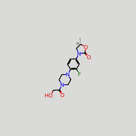 C[C@H]1CN(c2ccc(N3CCN(C(=O)CO)CC3)c(F)c2)C(=O)O1